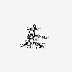 CC1(C)S[C@@H]2[C@@H](NC(=O)C(C=C(Cl)Cl)NC(=O)OCC(Cl)(Cl)Cl)C(=O)N2[C@H]1C(=O)[O-].[Na+]